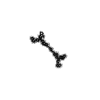 CC1(C)c2ccccc2-c2ccc(N(c3ccc(-c4cccc5ccccc45)cc3)c3ccc4c(c3)C(C)(C)c3cc(/C=C/c5ccc(/C=C/c6ccc7c(c6)C(C)(C)c6cc(N(c8ccc(-c9cccc%10ccccc9%10)cc8)c8ccc9c(c8)C(C)(C)c8ccccc8-9)ccc6-7)cc5)ccc3-4)cc21